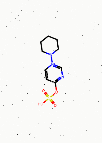 O=S(=O)(O)Oc1cc[n+](N2CCCCC2)cn1